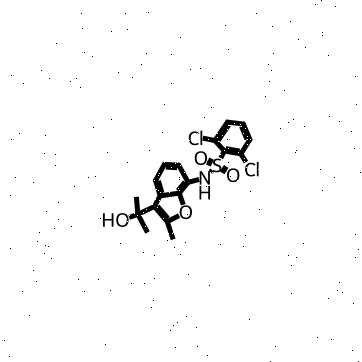 Cc1oc2c(NS(=O)(=O)c3c(Cl)cccc3Cl)cccc2c1C(C)(C)O